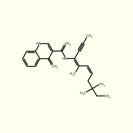 C=C(N/C(C#CC)=C(C)/C=C\CC(C)(C)CC)C1=CNc2ccccc2C1=C